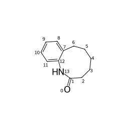 O=C1CCCCCc2ccccc2N1